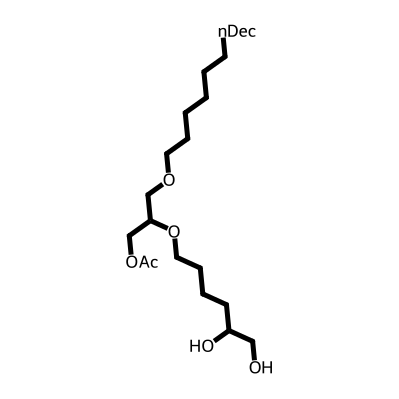 CCCCCCCCCCCCCCCCOCC(COC(C)=O)OCCCCC(O)CO